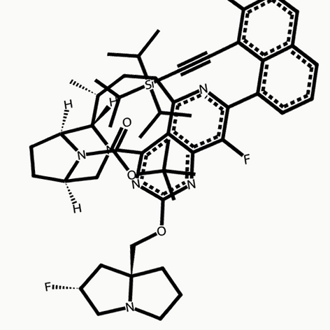 CC(C)[Si](C#Cc1c(F)ccc2cccc(-c3nc4c5c(nc(OC[C@@]67CCCN6C[C@H](F)C7)nc5c3F)N3C[C@H]5CC[C@@H]([C@@H]3[C@H](C)CC4)N5C(=O)OC(C)(C)C)c12)(C(C)C)C(C)C